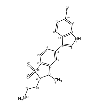 CC1c2cc(-c3c[nH]c4cc(F)ccc34)ccc2S(=O)(=O)N1CCN